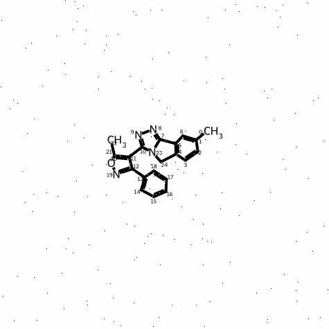 Cc1ccc2c(c1)-c1nnc(-c3c(-c4ccccc4)noc3C)n1C2